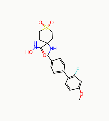 COc1ccc(-c2ccc(CNC3(C(=O)NO)CCS(=O)(=O)CC3)cc2)c(F)c1